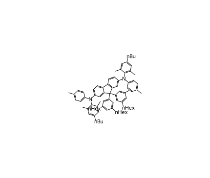 CCCCCCc1cc(C)cc(C2(c3cc(CCCCCC)cc(CCCCCC)c3)c3cc(N(c4ccc(C)cc4)c4c(C)cc(CCCC)cc4C)ccc3-c3ccc(N(c4ccc(C)cc4)c4c(C)cc(CCCC)cc4C)cc32)c1